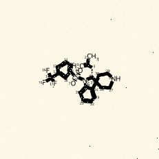 C=C(C)C[C@H]1N(S(=O)(=O)c2cccc(C(F)(F)F)c2)c2ccccc2C12CCNCC2